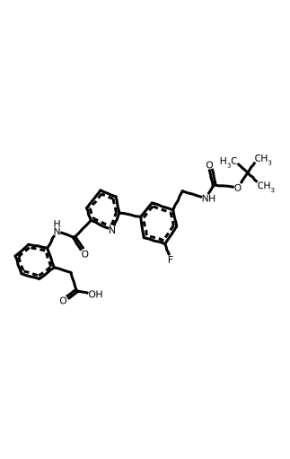 CC(C)(C)OC(=O)NCc1cc(F)cc(-c2cccc(C(=O)Nc3ccccc3CC(=O)O)n2)c1